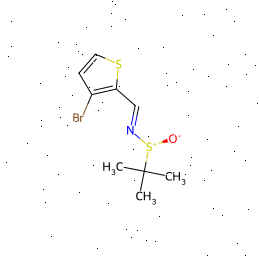 CC(C)(C)[S@+]([O-])/N=C/c1sccc1Br